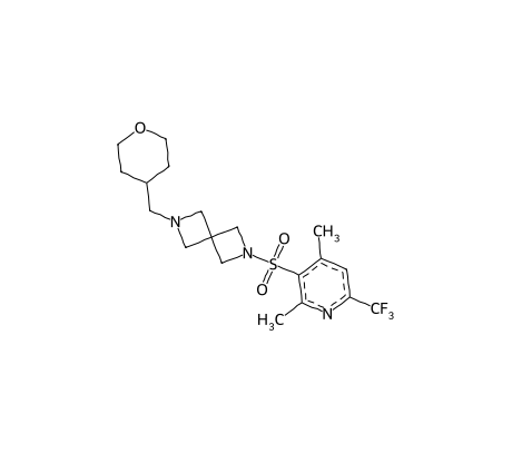 Cc1cc(C(F)(F)F)nc(C)c1S(=O)(=O)N1CC2(CN(CC3CCOCC3)C2)C1